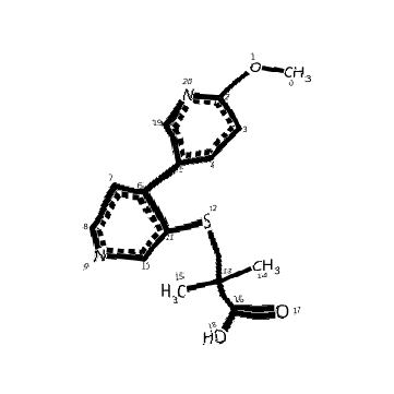 COc1ccc(-c2ccncc2SC(C)(C)C(=O)O)cn1